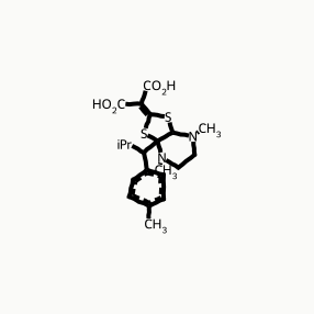 Cc1ccc(C(C(C)C)C23SC(=C(C(=O)O)C(=O)O)SC2N(C)CCN3C)cc1